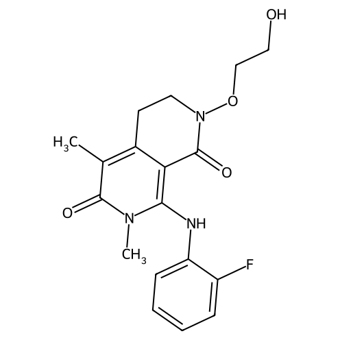 Cc1c2c(c(Nc3ccccc3F)n(C)c1=O)C(=O)N(OCCO)CC2